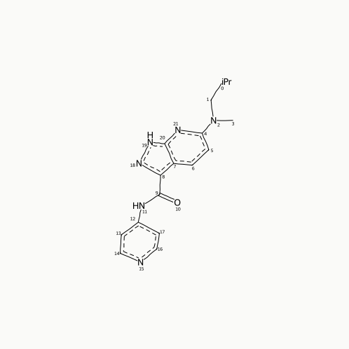 CC(C)CN(C)c1ccc2c(C(=O)Nc3ccncc3)n[nH]c2n1